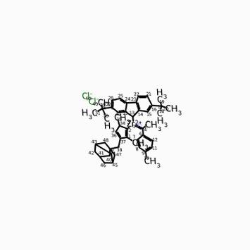 CC1=[C](/[Zr+2](=[C](/C)c2ccc(C)cc2)[CH]2c3cc(C(C)(C)C)ccc3-c3ccc(C(C)(C)C)cc32)C(C)C=C1CC12CC3CC(CC(C3)C1)C2.[Cl-].[Cl-]